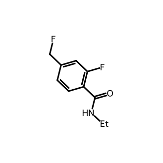 CCNC(=O)c1ccc(CF)cc1F